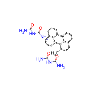 Cc1ccc2cccc3c4cccc5cccc(c1c23)c54.NC(=O)NC(N)=O.NC(=O)NC(N)=O